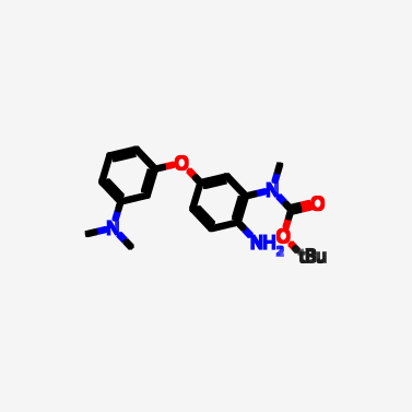 CN(C)c1cccc(Oc2ccc(N)c(N(C)C(=O)OC(C)(C)C)c2)c1